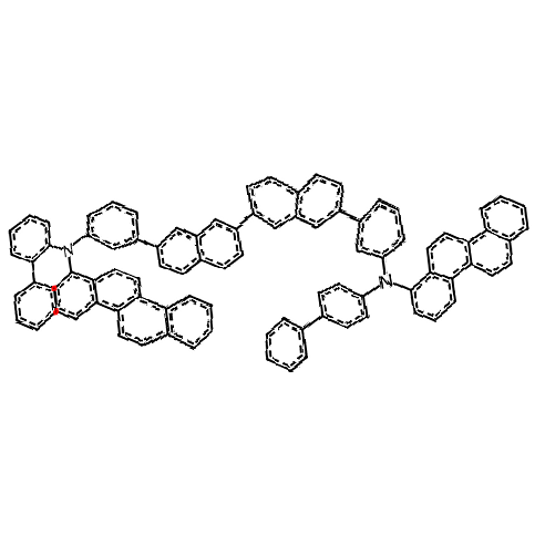 c1ccc(-c2ccc(N(c3cccc(-c4ccc5ccc(-c6ccc7ccc(-c8cccc(N(c9ccccc9-c9ccccc9)c9cccc%10c9ccc9c%11ccccc%11ccc%109)c8)cc7c6)cc5c4)c3)c3cccc4c3ccc3c5ccccc5ccc43)cc2)cc1